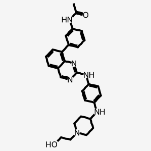 CC(=O)Nc1cccc(-c2cccc3cnc(Nc4ccc(NC5CCN(CCO)CC5)cc4)nc23)c1